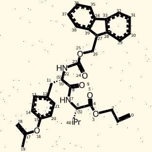 C=CCOC(=O)[C@@H](NC(=O)[C@H](Cc1ccc(OC(=C)C)cc1)NC(=O)OCC1c2ccccc2-c2ccccc21)C(C)C